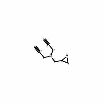 C#CCN(CC#C)CC1CO1